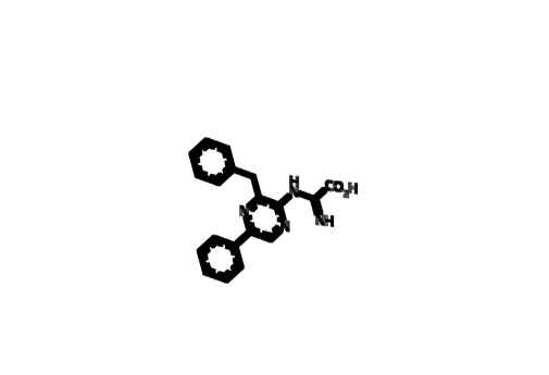 N=C(Nc1ncc(-c2ccccc2)nc1Cc1ccccc1)C(=O)O